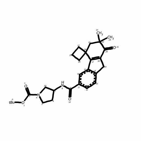 CC(C)(C)OC(=O)N1CCC(NC(=O)c2ccc3c(c2)C2=C(C3)C(=O)C(C)(C)CC23CCC3)C1